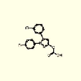 O=C(O)Oc1cc(-c2cccc(Cl)c2)n(-c2ccc(F)cc2)n1